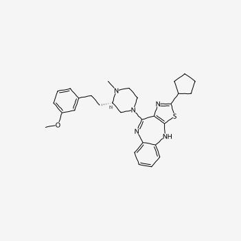 COc1cccc(CC[C@H]2CN(C3=Nc4ccccc4Nc4sc(C5CCCC5)nc43)CCN2C)c1